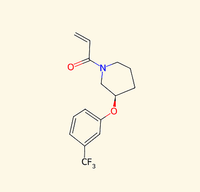 C=CC(=O)N1CCC[C@@H](Oc2cccc(C(F)(F)F)c2)C1